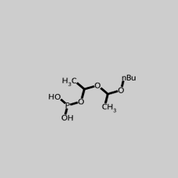 CCCCOC(C)OC(C)OP(O)O